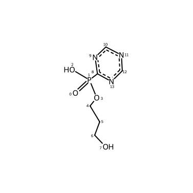 O=P(O)(OCCCO)c1ncncn1